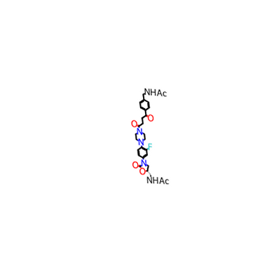 CC(=O)NCc1ccc(C(=O)CCC(=O)N2CCN(c3ccc(N4C[C@H](CNC(C)=O)OC4=O)cc3F)CC2)cc1